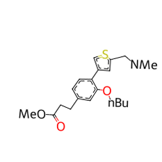 CCCCOc1cc(CCC(=O)OC)ccc1-c1csc(CNC)c1